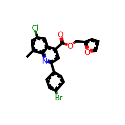 Cc1cc(Cl)cc2c(C(=O)OCc3ccco3)cc(-c3ccc(Br)cc3)nc12